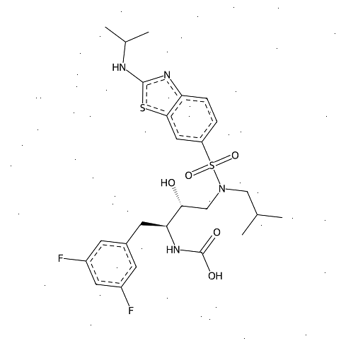 CC(C)CN(C[C@@H](O)[C@H](Cc1cc(F)cc(F)c1)NC(=O)O)S(=O)(=O)c1ccc2nc(NC(C)C)sc2c1